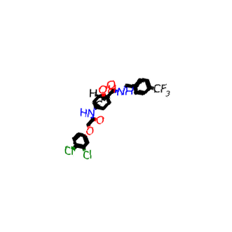 O=C(COc1ccc(Cl)c(Cl)c1)NC12CCC(C(=O)NCc3ccc(C(F)(F)F)cc3)(CC1)[C@@H](O)C2